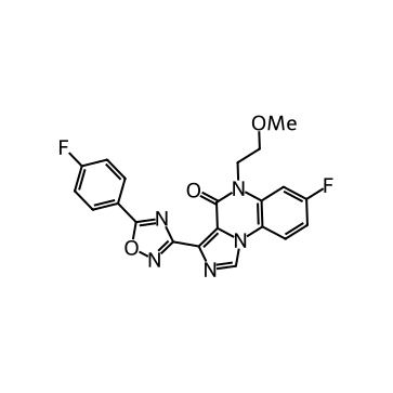 COCCn1c(=O)c2c(-c3noc(-c4ccc(F)cc4)n3)ncn2c2ccc(F)cc21